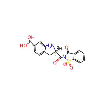 [2H][C@](N)(Cc1ccc(B(O)O)cc1)C(=O)N1C(=O)c2ccccc2S1(=O)=O